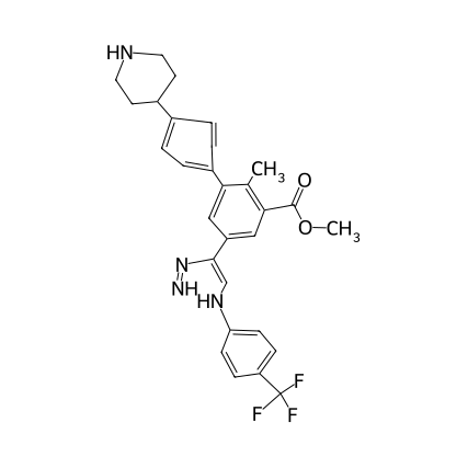 COC(=O)c1cc(/C(=C/Nc2ccc(C(F)(F)F)cc2)N=N)cc(-c2ccc(C3CCNCC3)cc2)c1C